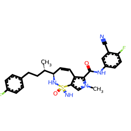 C[C@@H](CCc1ccc(F)cc1)[C@H]1C=Cc2c(cn(C)c2C(=O)Nc2ccc(F)c(C#N)c2)S(=N)(=O)N1